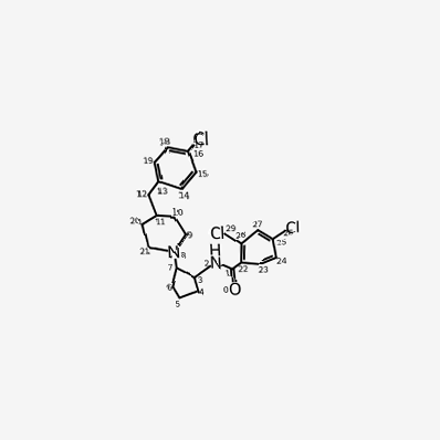 O=C(NC1CCCC1N1CCC(Cc2ccc(Cl)cc2)CC1)c1ccc(Cl)cc1Cl